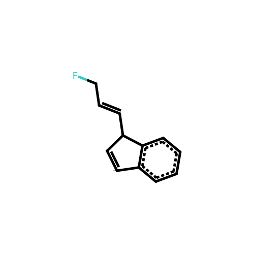 FC/C=C/C1C=[C]c2ccccc21